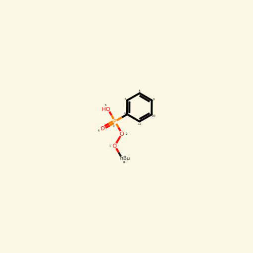 CCCCOOP(=O)(O)c1ccccc1